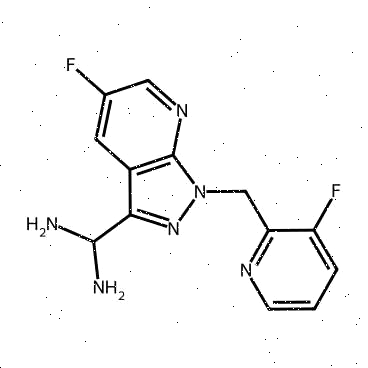 NC(N)c1nn(Cc2ncccc2F)c2ncc(F)cc12